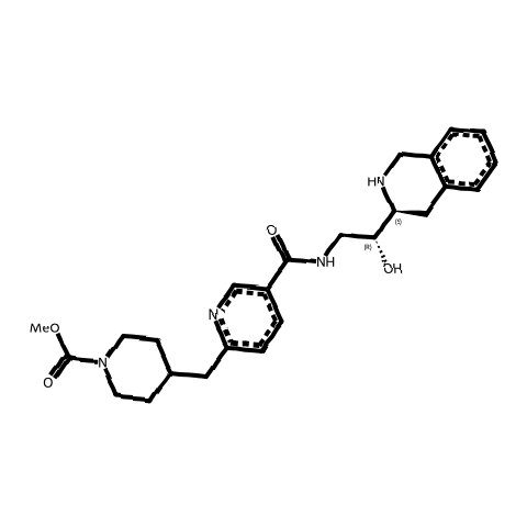 COC(=O)N1CCC(Cc2ccc(C(=O)NC[C@@H](O)[C@@H]3Cc4ccccc4CN3)cn2)CC1